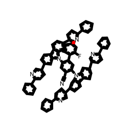 N#Cc1cc(-n2c3cc(-c4ccc(-c5ccccc5)nc4)ccc3c3ccc(-c4ccc(-c5ccccc5)nc4)cc32)c(-c2c(F)cccc2F)cc1-n1c2cc(-c3ccc(-c4ccccc4)nc3)ccc2c2ccc(-c3ccc(-c4ccccc4)nc3)cc21